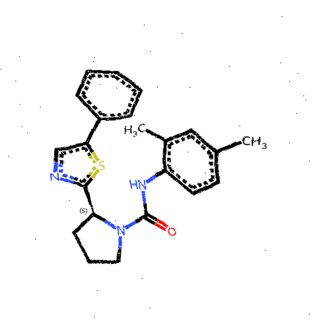 Cc1ccc(NC(=O)N2CCC[C@H]2c2ncc(-c3ccccc3)s2)c(C)c1